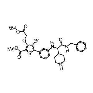 COC(=O)c1sc(-c2cccc(NC(C(=O)NCc3ccccc3)C3CCNCC3)c2)c(Br)c1OCC(=O)OC(C)(C)C